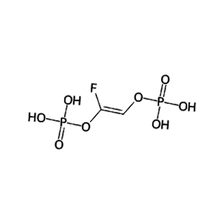 O=P(O)(O)O/C=C(\F)OP(=O)(O)O